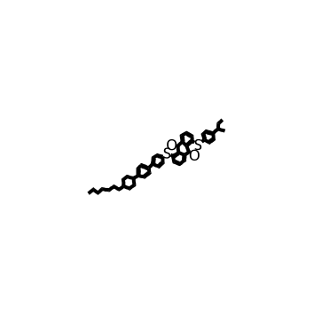 CCCCCCCC1CCC(c2ccc(-c3ccc(Sc4cccc5c4C(=O)c4cccc(Sc6ccc(C(C)CC)cc6)c4C5=O)cc3)cc2)CC1